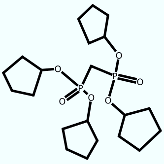 O=P(CP(=O)(OC1CCCC1)OC1CCCC1)(OC1CCCC1)OC1CCCC1